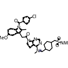 CNS(=O)(=O)CC1CCC(/C=[N+](/C)c2ncnc3c2ccn3C(=O)Cc2c(C)n(C(=O)c3ccc(Cl)cc3)c3ccc(OC)cc23)CC1